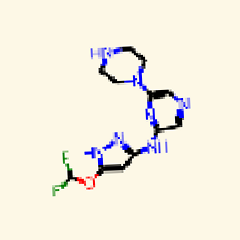 FC(F)Oc1cc(Nc2cncc(N3CCNCC3)n2)n[nH]1